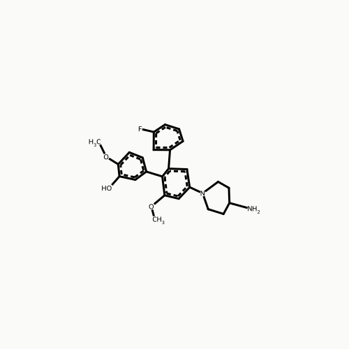 COc1ccc(-c2c(OC)cc(N3CCC(N)CC3)cc2-c2cccc(F)c2)cc1O